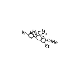 CCc1cc2c(cc1OC)C(C)(C)c1[nH]c3cc(Br)ccc3c1C2